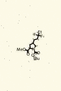 CCC(F)(F)CCC1CC(C(=O)OC)N(C(=O)OC(C)(C)C)C1